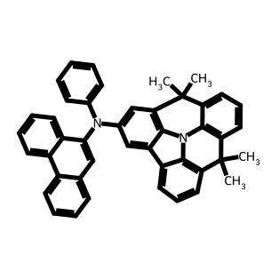 CC1(C)c2cccc3c2-n2c4c1cccc4c1cc(N(c4ccccc4)c4cc5ccccc5c5ccccc45)cc(c12)C3(C)C